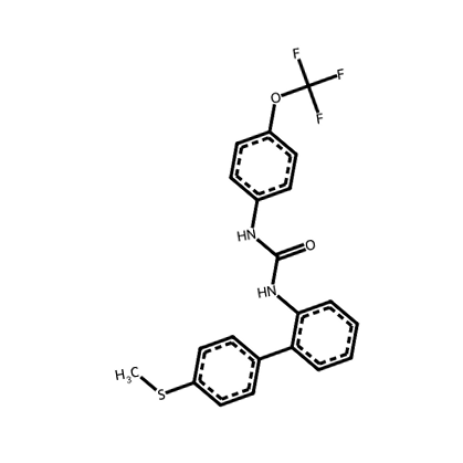 CSc1ccc(-c2ccccc2NC(=O)Nc2ccc(OC(F)(F)F)cc2)cc1